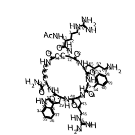 CC(=O)N[C@@H](CCCNC(=N)N)C(=O)N[C@H]1CCC(=O)NCCC[C@@H](C(N)=O)NC(=O)[C@H](Cc2c[nH]c3ccccc23)NC(=O)[C@H](CCCNC(=N)N)NC(=O)[C@@H](Cc2ccccc2)NC(=O)[C@H](CCCCN)NC1=O